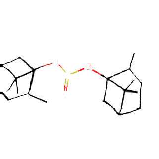 CC1CCC2CC1(OS(=O)OC13CC(CCC1C)C3(C)C)C2(C)C